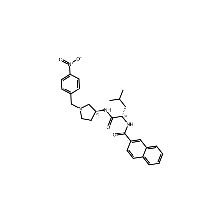 CC(C)C[C@H](NC(=O)c1ccc2ccccc2c1)C(=O)N[C@H]1CCN(Cc2ccc([N+](=O)[O-])cc2)C1